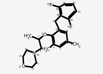 Cc1cc(C)c(OC(C)CN2CCOCC2)c(Cc2c(F)cccc2F)c1